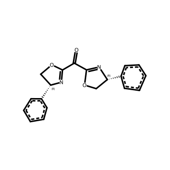 O=C(C1=N[C@H](c2ccccc2)CO1)C1=N[C@H](c2ccccc2)CO1